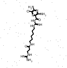 N=C(N)NCCC(=O)NCCCCCCNC(=N)NC(=O)c1nc(Cl)c(N)nc1N